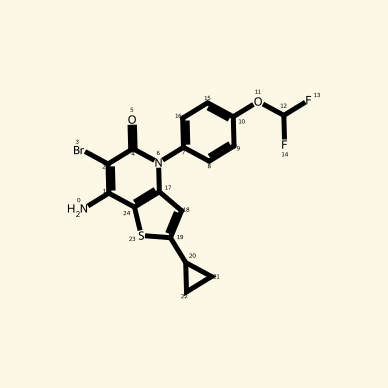 Nc1c(Br)c(=O)n(-c2ccc(OC(F)F)cc2)c2cc(C3CC3)sc12